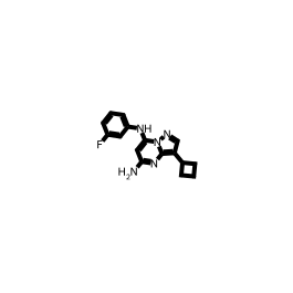 Nc1cc(Nc2cccc(F)c2)n2ncc(C3CCC3)c2n1